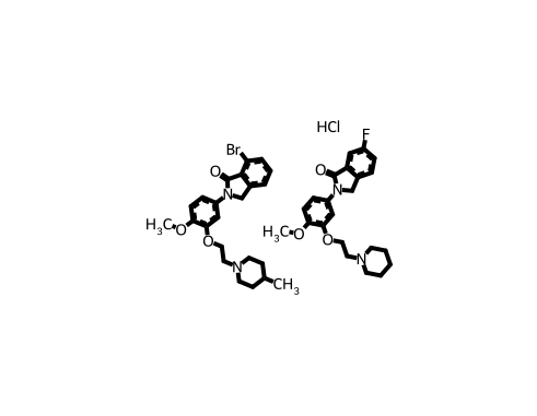 COc1ccc(N2Cc3ccc(F)cc3C2=O)cc1OCCN1CCCCC1.COc1ccc(N2Cc3cccc(Br)c3C2=O)cc1OCCN1CCC(C)CC1.Cl